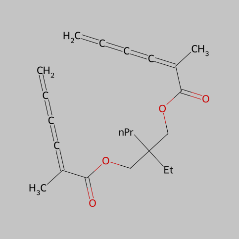 C=C=C=C=C(C)C(=O)OCC(CC)(CCC)COC(=O)C(C)=C=C=C=C